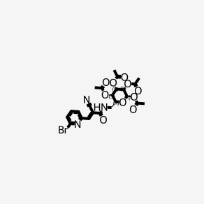 CC(=O)O[C@H]1O[C@H](CNC(=O)C(C#N)=Cc2cccc(Br)n2)[C@H](OC(C)=O)[C@H](OC(C)=O)[C@H]1OC(C)=O